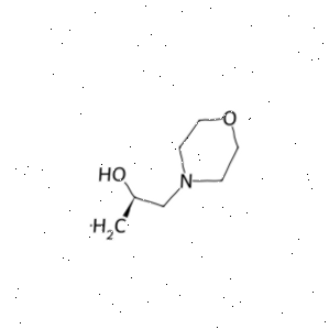 [CH2][C@@H](O)CN1CCOCC1